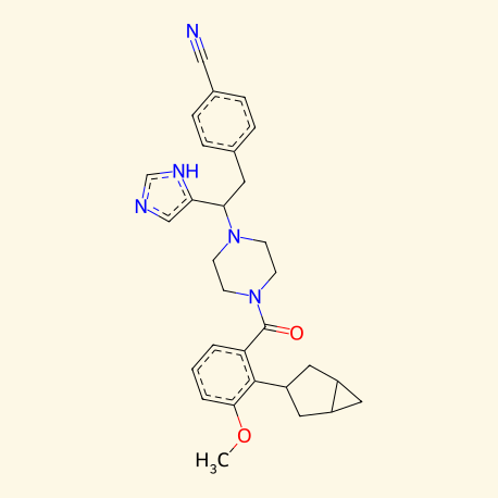 COc1cccc(C(=O)N2CCN(C(Cc3ccc(C#N)cc3)c3cnc[nH]3)CC2)c1C1CC2CC2C1